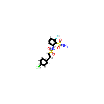 NS(=O)(=O)c1c(F)cccc1NS(=O)(=O)C=Cc1ccc(Cl)cc1